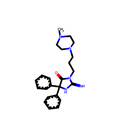 CN1CCN(CCCN2C(=N)NC(c3ccccc3)(c3ccccc3)C2=O)CC1